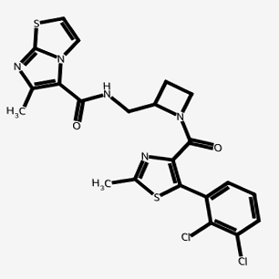 Cc1nc(C(=O)N2CCC2CNC(=O)c2c(C)nc3sccn23)c(-c2cccc(Cl)c2Cl)s1